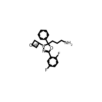 NCCCC1(c2ccccc2)OC(c2cc(F)ccc2F)=NN1C1(C=O)CCC1